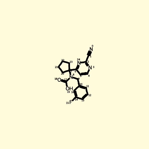 N#Cc1nccc(C2(N(Cc3cccc(F)c3)C(=O)O)CCCC2)n1